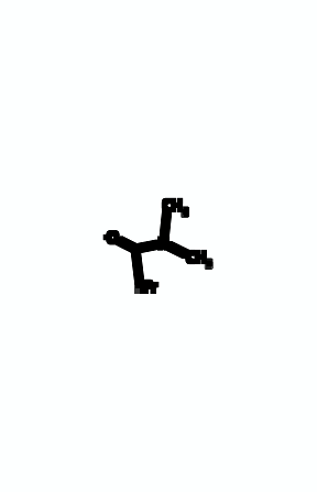 CCCC([O])N(C)C